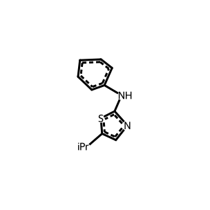 CC(C)c1cnc(Nc2ccccc2)s1